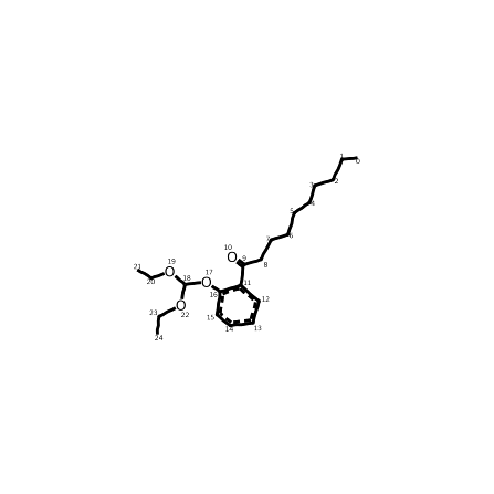 CCCCCCCCCC(=O)c1ccccc1OC(OCC)OCC